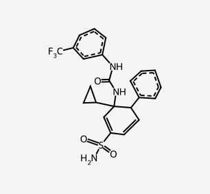 NS(=O)(=O)C1=CC(NC(=O)Nc2cccc(C(F)(F)F)c2)(C2CC2)C(c2ccccc2)C=C1